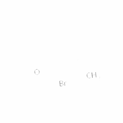 C[CH]C1(Br)CCCO1